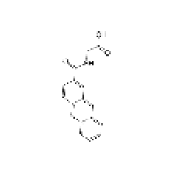 O=C(O)CNC(=O)c1ccc2cc3ccccc3cc2c1